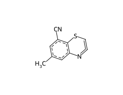 Cc1cc(C#N)c2c(c1)N=C=CS2